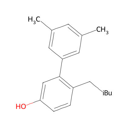 CCC(C)Cc1ccc(O)cc1-c1cc(C)cc(C)c1